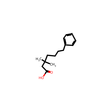 CC(C)(CCCCc1cc[c]cc1)CC(=O)O